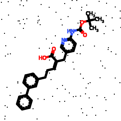 CC(C)(C)OC(=O)Nc1ccc(CC(=CCCc2cccc(-c3ccccc3)c2)C(=O)O)cn1